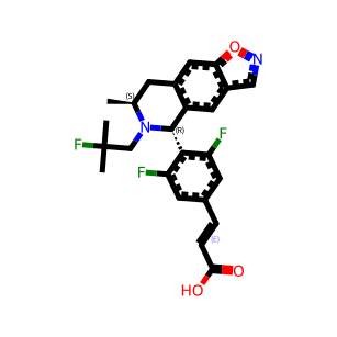 C[C@H]1Cc2cc3oncc3cc2[C@H](c2c(F)cc(/C=C/C(=O)O)cc2F)N1CC(C)(C)F